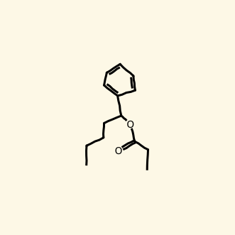 CCCCC(OC(=O)CC)c1ccccc1